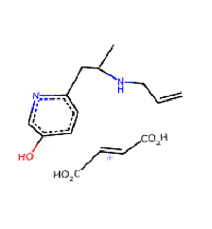 C=CCNC(C)Cc1ccc(O)cn1.O=C(O)/C=C/C(=O)O